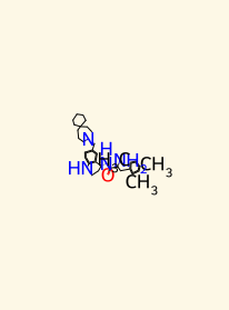 Cc1cc(C)c(C[C@H](N)C(=O)N[C@@H]2CCNc3ccc(CN4CCCC5(CCCCC5)CC4)cc32)c(C)c1